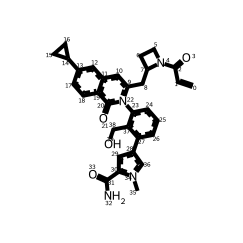 C=CC(=O)N1CCC1Cc1cc2cc(C3CC3)ccc2c(=O)n1-c1cccc(-c2cc(C(N)=O)n(C)c2)c1CO